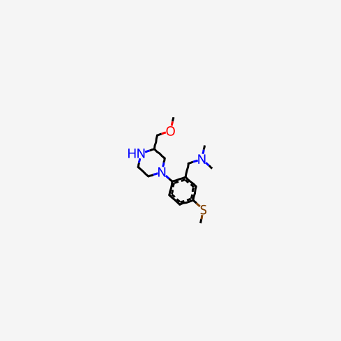 COCC1CN(c2ccc(SC)cc2CN(C)C)CCN1